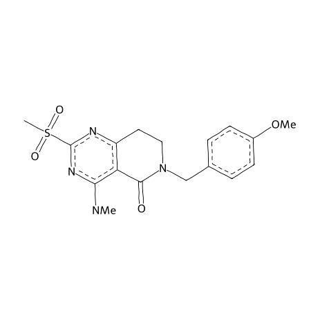 CNc1nc(S(C)(=O)=O)nc2c1C(=O)N(Cc1ccc(OC)cc1)CC2